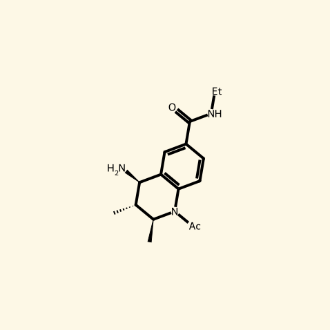 CCNC(=O)c1ccc2c(c1)[C@H](N)[C@@H](C)[C@H](C)N2C(C)=O